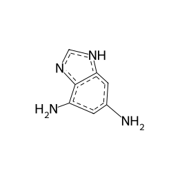 Nc1cc(N)c2nc[nH]c2c1